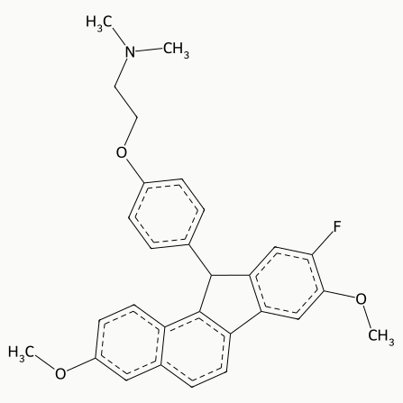 COc1ccc2c3c(ccc2c1)-c1cc(OC)c(F)cc1C3c1ccc(OCCN(C)C)cc1